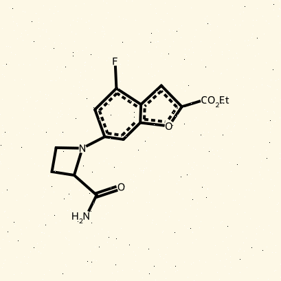 CCOC(=O)c1cc2c(F)cc(N3CCC3C(N)=O)cc2o1